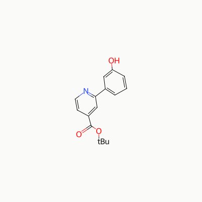 CC(C)(C)OC(=O)c1ccnc(-c2cccc(O)c2)c1